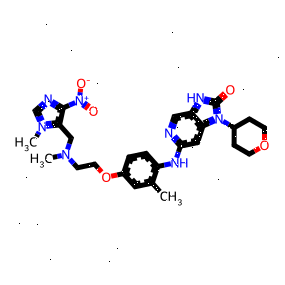 Cc1cc(OCCN(C)Cc2c([N+](=O)[O-])ncn2C)ccc1Nc1cc2c(cn1)[nH]c(=O)n2C1CCOCC1